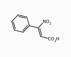 O=C(O)/C=C(/c1ccccc1)[N+](=O)[O-]